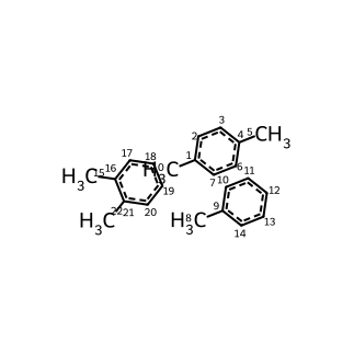 Cc1ccc(C)cc1.Cc1ccccc1.Cc1ccccc1C